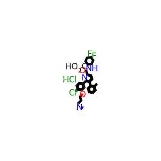 Cc1ccccc1-c1ccc(C(=O)NC2(C(=O)O)CCC(F)(F)CC2)nc1-c1ccc(Cl)c(OCCCN(C)C)c1.Cl